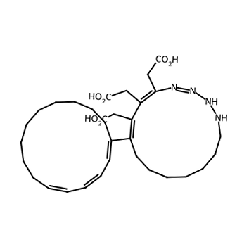 O=C(O)CC1=C(CC(=O)O)C(CC(=O)O)=C(C2=CC=CC=CCCCCCCCCC2)CCCCCCCNNN=N1